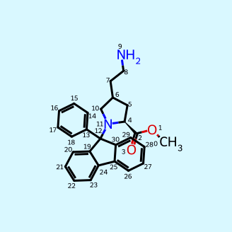 COC(=O)[C@@H]1CC(CCN)CN1C1(c2ccccc2)c2ccccc2-c2ccccc21